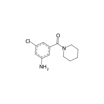 Nc1cc(Cl)cc(C(=O)N2CCCCC2)c1